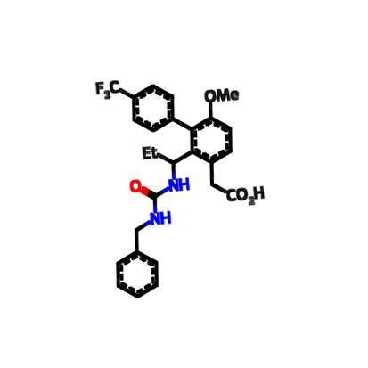 CCC(NC(=O)NCc1ccccc1)c1c(CC(=O)O)ccc(OC)c1-c1ccc(C(F)(F)F)cc1